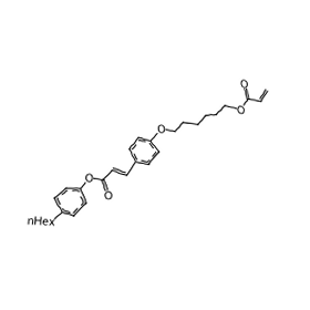 C=CC(=O)OCCCCCCOc1ccc(/C=C/C(=O)Oc2ccc(CCCCCC)cc2)cc1